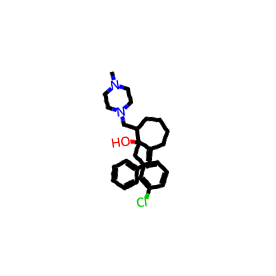 CN1CCN(CC2CCCC/C(=C/c3ccccc3)C2(O)Cc2cccc(Cl)c2)CC1